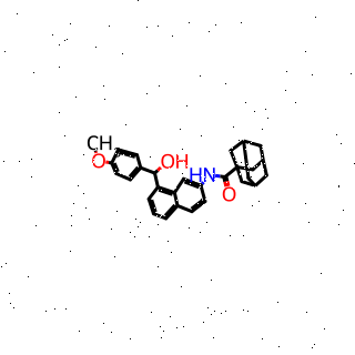 COc1ccc(C(O)c2cccc3ccc(NC(=O)C45CC6CC(CC(C6)C4)C5)cc23)cc1